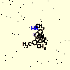 C=C(/C=C\c1c(C)cccc1NC)c1cc(C)cc(C)c1C